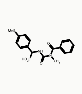 CSc1ccc(C(NC(=O)N(C)C(=O)c2ccccc2)C(=O)O)cc1